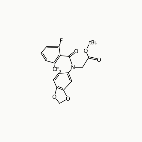 CC(C)(C)OC(=O)CN(C(=O)c1c(F)cccc1C(F)(F)F)c1ccc2c(c1)OCO2